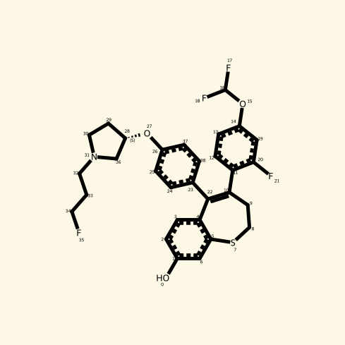 Oc1ccc2c(c1)SCCC(c1ccc(OC(F)F)cc1F)=C2c1ccc(O[C@H]2CCN(CCCF)C2)cc1